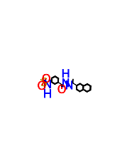 CC(=NNC(=O)c1cccc(NS(C)(=O)=O)c1)c1ccc2ccccc2c1